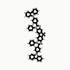 CC1(C)c2cc3nc(-c4ccc(-n5c6ccccc6c6ccccc65)cc4)n(-c4ccccc4)c3cc2-c2cc3c(cc21)nc(-c1ccc(-n2c4ccccc4c4ccccc42)cc1)n3-c1ccccc1